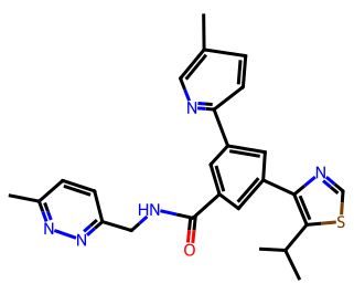 Cc1ccc(-c2cc(C(=O)NCc3ccc(C)nn3)cc(-c3ncsc3C(C)C)c2)nc1